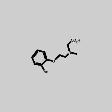 CC(=O)c1ccccc1OCCN(C)CC(=O)O